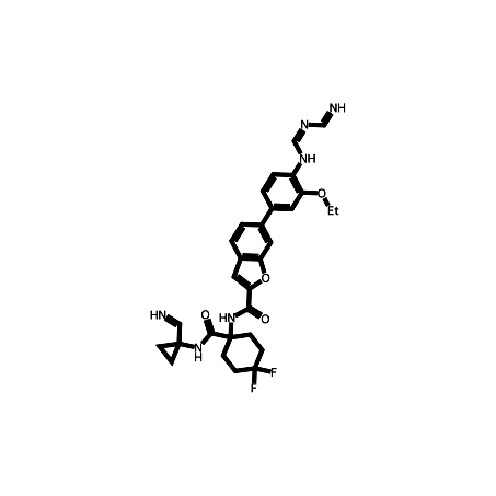 CCOc1cc(-c2ccc3cc(C(=O)NC4(C(=O)NC5(C=N)CC5)CCC(F)(F)CC4)oc3c2)ccc1N/C=N\C=N